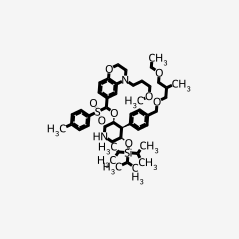 CCOCC(C)COCc1ccc([C@@H]2[C@@H](OC(c3ccc4c(c3)N(CCCOC)CCO4)S(=O)(=O)c3ccc(C)cc3)CNC[C@H]2O[Si](C(C)C)(C(C)C)C(C)C)cc1